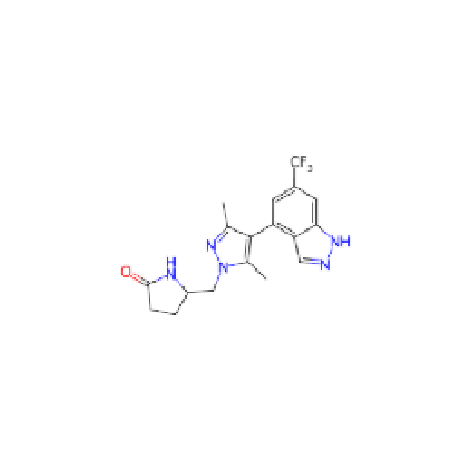 Cc1nn(CC2CCC(=O)N2)c(C)c1-c1cc(C(F)(F)F)cc2[nH]ncc12